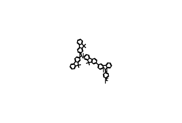 CC1(C)c2ccccc2-c2ccc(N(c3ccc4c(c3)C(C)(C)c3ccccc3-4)c3ccc4c(c3)C(C)(C)c3cc(-c5ccc6c(c5)c5ccccc5n6-c5ccc(F)cc5)ccc3-4)cc21